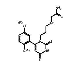 COc1ccc(Cl)cc1-c1cc(=O)[nH]c(=S)n1CCCNCC(N)=O.Cl